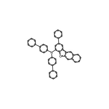 c1ccc(-c2ccc(N(c3ccc(-c4ccccc4)cc3)c3cc(-c4ccccc4)cc4c3oc3cc5ccccc5cc34)cc2)cc1